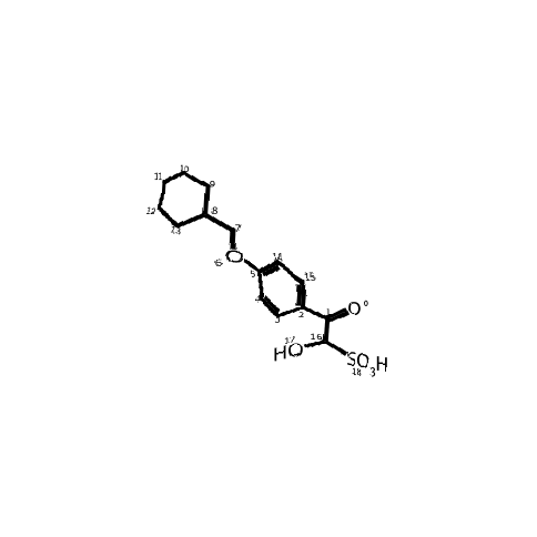 O=C(c1ccc(OCC2CCCCC2)cc1)C(O)S(=O)(=O)O